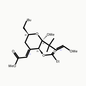 CCC(=O)O[C@H]1/C(=C/C(=O)OC)C[C@@H](CC(C)CC)O[C@@]1(OC)C(C)(C)/C=C/OC